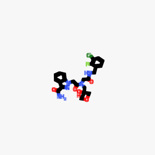 NC(=O)c1nn(CC(=O)N(CC(=O)NCc2cccc(Cl)c2F)CC2(O)COC2)c2ccccc12